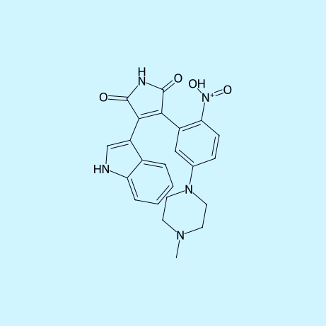 CN1CCN(c2ccc([N+](=O)O)c(C3=C(c4c[nH]c5ccccc45)C(=O)NC3=O)c2)CC1